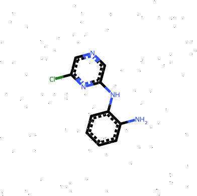 Nc1ccccc1Nc1cncc(Cl)n1